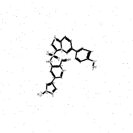 CC(C)Oc1ccc(-c2ccc3ncc(S(=O)(=O)Nc4cc(-c5cnn(C)c5)cnc4C=N)n3c2)cc1